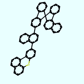 c1ccc2c(c1)-c1ccc(-c3ccc(-c4ccc5c(c4)-c4cccc6cccc(c46)S5)c4ccccc34)cc1C21c2ccccc2-c2c1ccc1ccccc21